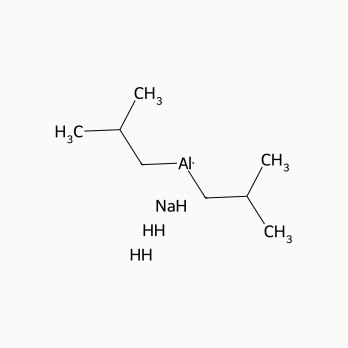 CC(C)[CH2][Al][CH2]C(C)C.[HH].[HH].[NaH]